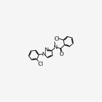 CN(C(=O)c1ccccc1Cl)c1ccn(-c2ccccc2Cl)n1